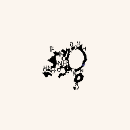 CCC[C@@H]1[C@@H]2CN(C(=O)[C@H](C(C)(C)C)NC(=O)O[C@@H]3C[C@H]3CCC/C=C/c3nc4ccc(OC)cc4nc3O2)[C@@H]1C(=O)N[C@]1(C(=O)NS(=O)(=O)C2(C)CC2)C[C@H]1C(F)F